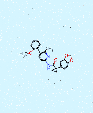 COc1ccccc1-c1ccc(NC(=O)C2(c3ccc4c(c3)OCO4)CC2)nc1C